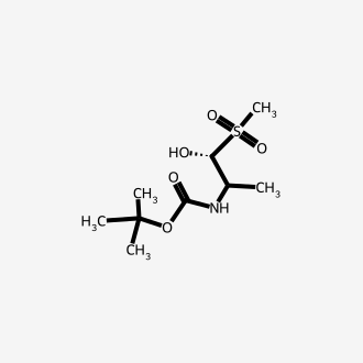 CC(NC(=O)OC(C)(C)C)[C@H](O)S(C)(=O)=O